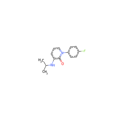 CC(C)Nc1cccn(-c2ccc(F)cc2)c1=O